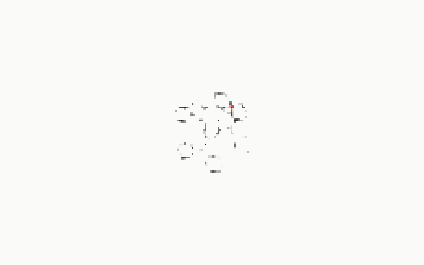 Cc1c(N(c2ccccc2)c2ccccc2)c(C)c(-n2c(-c3ccccc3)nc3ccccc32)c(C)c1N(c1ccccc1)c1ccccc1